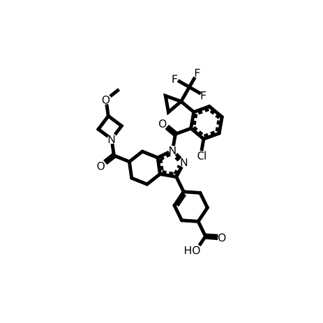 COC1CN(C(=O)C2CCc3c(C4=CCC(C(=O)O)CC4)nn(C(=O)c4c(Cl)cccc4C4(C(F)(F)F)CC4)c3C2)C1